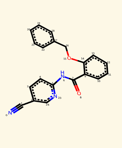 N#Cc1ccc(NC(=O)c2ccccc2OCc2ccccc2)nc1